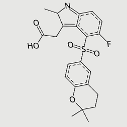 CC1N=c2ccc(F)c(S(=O)(=O)c3ccc4c(c3)CCC(C)(C)O4)c2=C1CC(=O)O